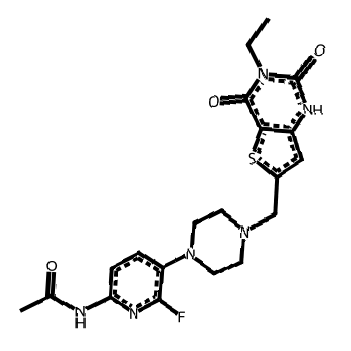 CCn1c(=O)[nH]c2cc(CN3CCN(c4ccc(NC(C)=O)nc4F)CC3)sc2c1=O